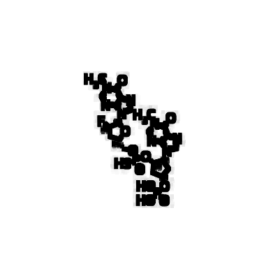 Cn1cnc2c(ncn2[C@@H]2C[C@H](OP(=O)(O)O)C[C@H]2OP(=O)(S)OC[C@@H]2C[C@@H](F)[C@H](n3cnc4c(=O)n(C)cnc43)O2)c1=O